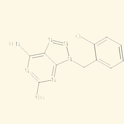 CC(C)(C)c1nc(N)c2nnn(Cc3ccccc3Cl)c2n1